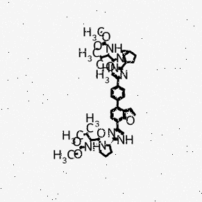 COC(=O)N[C@H](C(=O)N1CCC[C@H]1c1nc(-c2ccc(-c3ccc(-c4c[nH]c(C56CCC(CN5C(=O)[C@@H](NC(=O)OC)C(C)C)C6)n4)cc3)c3ccoc23)c[nH]1)C(C)C